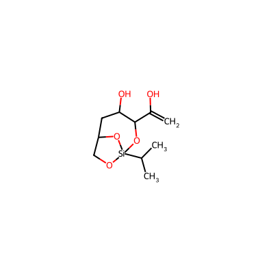 C=C(O)C1O[Si]2(C(C)C)OCC(CC1O)O2